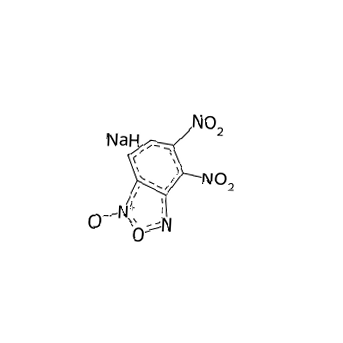 O=[N+]([O-])c1ccc2c(no[n+]2[O-])c1[N+](=O)[O-].[NaH]